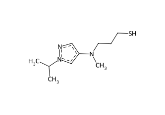 CC(C)n1cc(N(C)CCCS)cn1